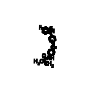 CN(C)C(=O)NC1CCC(F)(CCN2CCC(c3nsc4cc(F)ccc34)CC2)CC1